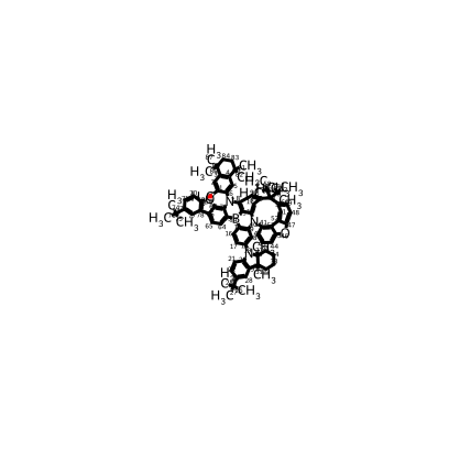 Cc1cc2c(cc1N1c3cc4cc5c3B(c3ccc(N6c7ccc(C(C)(C)C)cc7C7(C)CCCCC67C)cc3N5c3cccc5oc6ccc(cc6c35)C4(C(C)(C)C)C(C)(C)C)c3ccc4c(oc5ccc(C(C)(C)C)cc54)c31)C(C)(C)CCC2(C)C